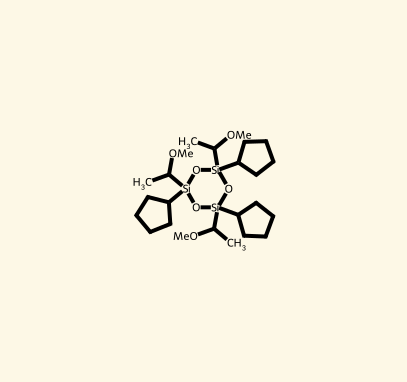 COC(C)[Si]1(C2CCCC2)O[Si](C2CCCC2)(C(C)OC)O[Si](C2CCCC2)(C(C)OC)O1